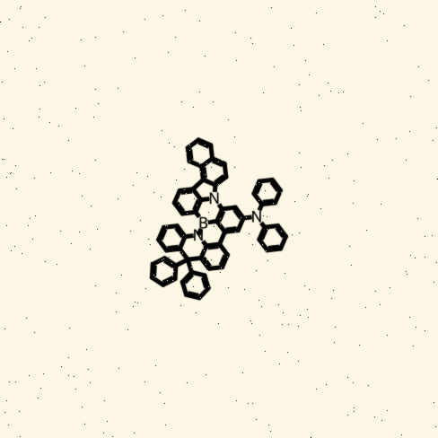 c1ccc(N(c2ccccc2)c2cc3c4c(c2)-n2c5ccc6ccccc6c5c5cccc(c52)B4N2c4ccccc4C(c4ccccc4)(c4ccccc4)c4cccc-3c42)cc1